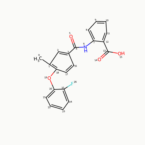 Cc1cc(C(=O)Nc2ccccc2C(=O)O)ccc1Oc1ccccc1F